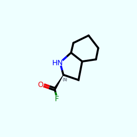 O=C(F)[C@@H]1CC2CCCCC2N1